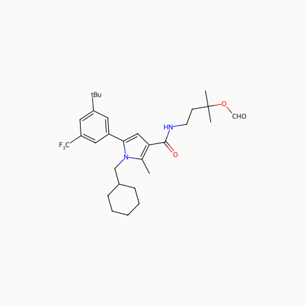 Cc1c(C(=O)NCCC(C)(C)OC=O)cc(-c2cc(C(C)(C)C)cc(C(F)(F)F)c2)n1CC1CCCCC1